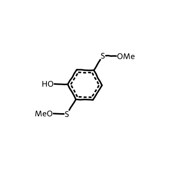 COSc1ccc(SOC)c(O)c1